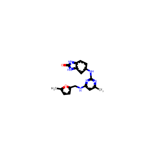 Cc1ccc(CNc2cc(C(F)(F)F)nc(Nc3ccc4[nH]c(=O)[nH]c4c3)n2)o1